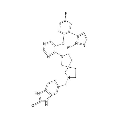 CC(C)n1nccc1-c1cc(F)ccc1Oc1cncnc1N1CCC2(CCN(Cc3ccc4[nH]c(=O)[nH]c4c3)C2)C1